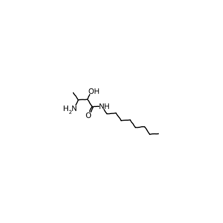 CCCCCCCCNC(=O)C(O)C(C)N